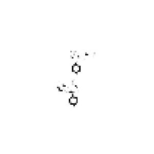 CC(C)Sc1nncn1-c1ccc(OCC2COC(Cn3ccnc3)(c3ccc(Cl)cc3Cl)O2)cc1